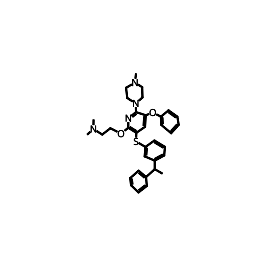 CC(c1ccccc1)c1cccc(Sc2cc(Oc3ccccc3)c(N3CCN(C)CC3)nc2OCCN(C)C)c1